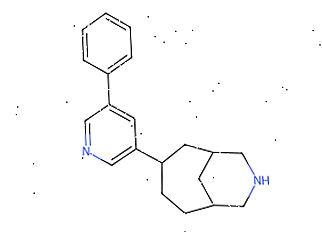 c1ccc(-c2cncc(C3CCC4CNCC(C4)C3)c2)cc1